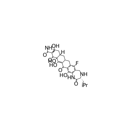 CC(C)C[C@H]1NCc2c(F)c3c(c(O)c2NC1=O)C(=O)C1=C(O)[C@]2(O)C(=O)C(C(N)=O)=C(O)C[C@@H]2CC1C3